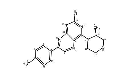 Cc1ccc(-c2cnc3c(N4CCOC[C@@H]4C)nc(Cl)nc3n2)cc1